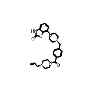 C=CCN1CCN(C(=O)c2ccc(CN3CCN(c4cccc5[nH]c(=O)oc45)CC3)cc2)CC1